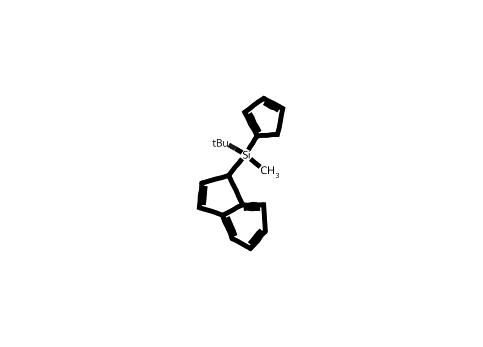 CC(C)(C)[Si](C)(C1=CC=CC1)C1C=Cc2ccccc21